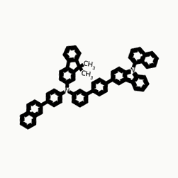 CC1(C)c2ccccc2-c2ccc(N(c3ccc(-c4ccc5ccccc5c4)cc3)c3cccc(-c4ccc(-c5ccc6c(c5)c5ccccc5n6-c5cccc6ccccc56)cc4)c3)cc21